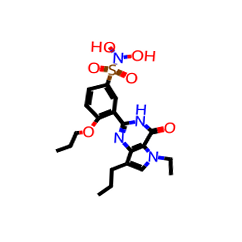 CCCOc1ccc(S(=O)(=O)N(O)O)cc1-c1nc2c(CCC)cn(CC)c2c(=O)[nH]1